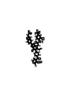 CCc1c(N2CCN(C(=O)c3ncnc(C)c3O)CC2)c(=O)n2nc(-c3ccc4nn(CC(F)F)cc4c3)nc2n1CC(=O)Nc1ccc(C(F)(F)F)cc1Cl